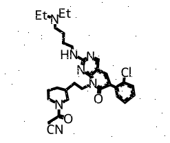 CCN(CC)CCCCNc1ncc2cc(-c3ccccc3Cl)c(=O)n(CCC3CCCN(C(=O)CC#N)C3)c2n1